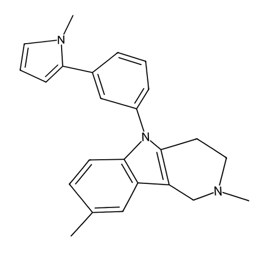 Cc1ccc2c(c1)c1c(n2-c2cccc(-c3cccn3C)c2)CCN(C)C1